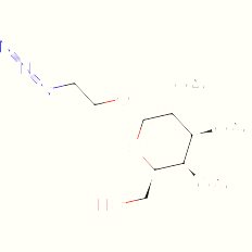 CC(=O)O[C@H]1[C@@H](OC(C)=O)[C@@H](CO)O[C@H](OCCN=[N+]=[N-])[C@@H]1OC(C)=O